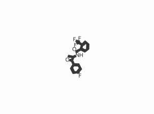 O=C(NC1COC1c1ccc(F)cc1)c1ccccc1C(F)(F)F